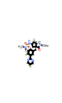 CON(C)C(=O)[C@@]1(Cc2ccc(F)c(-c3ncc(F)cn3)c2)C[C@H](F)[C@H](NS(=O)(=O)N(C)C)C1